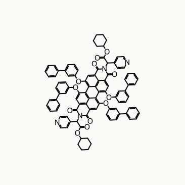 O=C(OC1CCCCC1)C(c1ccncc1)N1C(=O)c2cc(Oc3cccc(-c4ccccc4)c3)c3c4c(Oc5cccc(-c6ccccc6)c5)cc5c6c(cc(Oc7cccc(-c8ccccc8)c7)c(c7c(Oc8cccc(-c9ccccc9)c8)cc(c2c37)C1=O)c64)C(=O)N(C(C(=O)OC1CCCCC1)c1ccncc1)C5=O